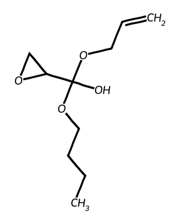 C=CCOC(O)(OCCCC)C1CO1